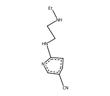 CCNCCNc1ccc(C#N)cn1